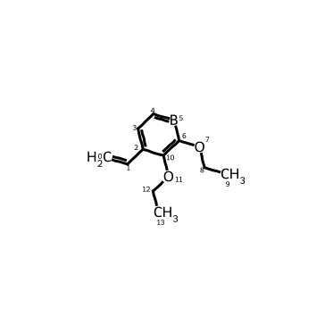 C=Cc1ccbc(OCC)c1OCC